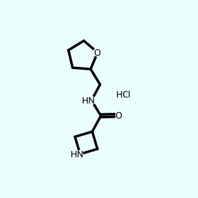 Cl.O=C(NCC1CCCO1)C1CNC1